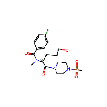 CN(C(=O)c1ccc(F)cc1)[C@@H](CCCO)C(=O)N1CCN(S(C)(=O)=O)CC1